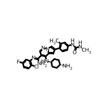 CNC(=O)Nc1ccc(-c2cc3c(N[C@H]4CC[C@H](N)CC4)c(/C(N)=N/c4cc(F)ccc4Cl)cnn3c2)c(C)c1